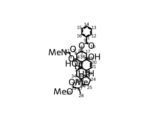 CNC(=O)O[C@]1(O)C[C@H](OC(=O)c2ccccc2)C[C@]2(O)C=C[C@H]3[C@@H]4CC[C@H](C(C)C(OC)OC)[C@@]4(C)CC[C@@H]3[C@]21C